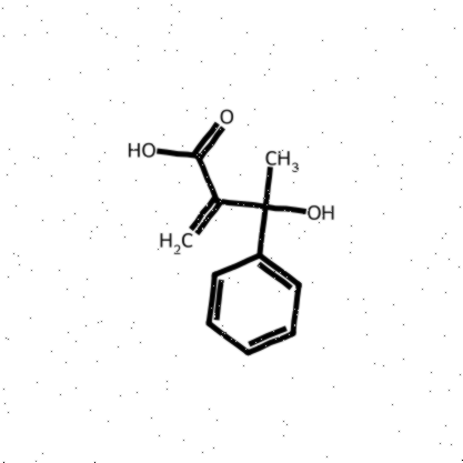 C=C(C(=O)O)C(C)(O)c1ccccc1